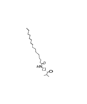 CCCCCCCCCCCCCCCC(=O)N[C@H]1C[C@H](C(=O)C(C)C)C1